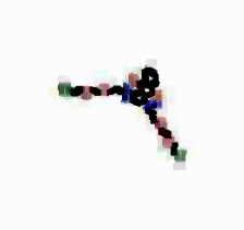 O=C1c2ccccc2C(=O)c2c(NCCCOCCOCCCl)ccc(NCCCOCCOCCCl)c21